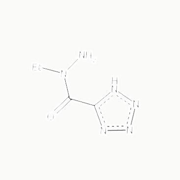 CCN(N)C(=O)c1nnn[nH]1